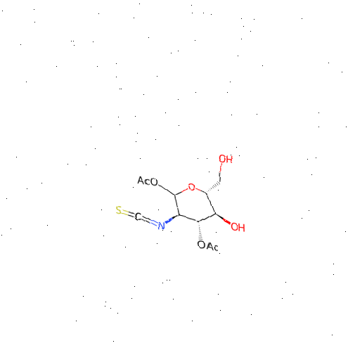 CC(=O)OC1O[C@H](CO)[C@@H](O)[C@H](OC(C)=O)[C@H]1N=C=S